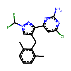 Cc1cccc(C)c1Cc1cn(C(F)F)nc1-c1cc(Cl)nc(N)n1